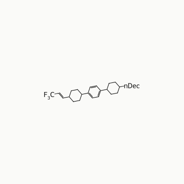 CCCCCCCCCCC1CCC(c2ccc(C3CCC(C=CC(F)(F)F)CC3)cc2)CC1